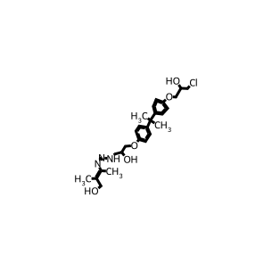 C/C(CO)=C(C)\N=N/NCC(O)COc1ccc(C(C)(C)c2ccc(OCC(O)CCl)cc2)cc1